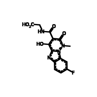 Cn1c(=O)c(C(=O)NCC(=O)O)c(O)c2nc3ccc(F)cc3n21